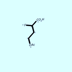 CC(=O)OCCC(F)C(=O)O